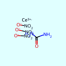 NC(N)=O.O=[N+]([O-])[O-].O=[N+]([O-])[O-].O=[N+]([O-])[O-].[Ce+3]